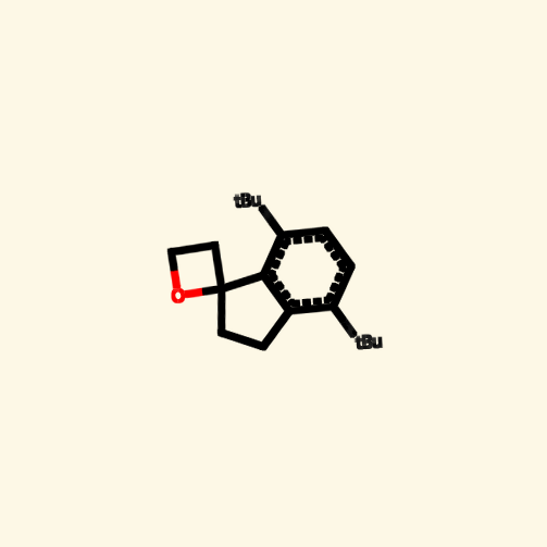 CC(C)(C)c1ccc(C(C)(C)C)c2c1CCC21CCO1